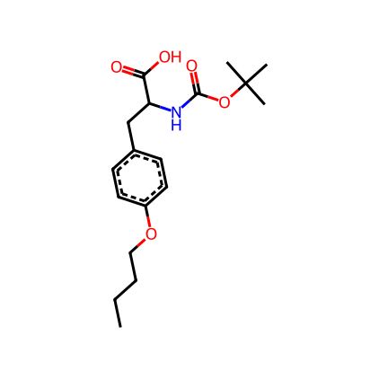 CCCCOc1ccc(CC(NC(=O)OC(C)(C)C)C(=O)O)cc1